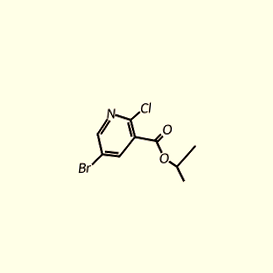 CC(C)OC(=O)c1cc(Br)cnc1Cl